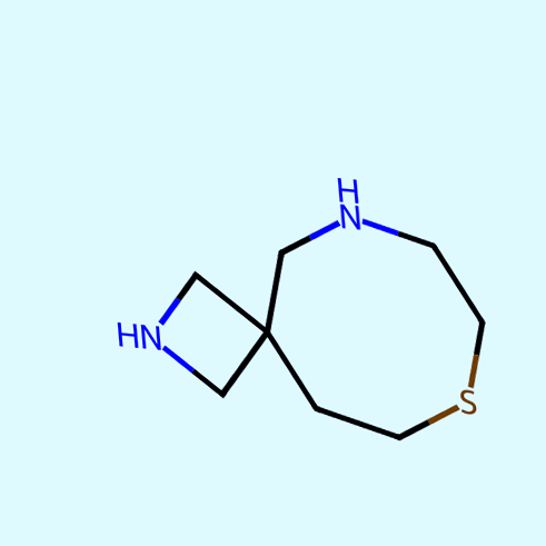 C1CSCCC2(CN1)CNC2